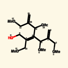 C=C(COC)C(OC)C(=C(CO)COC)C(OC(C)=O)C(=C)COC